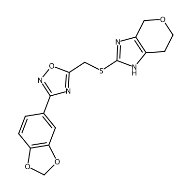 c1cc2c(cc1-c1noc(CSc3nc4c([nH]3)CCOC4)n1)OCO2